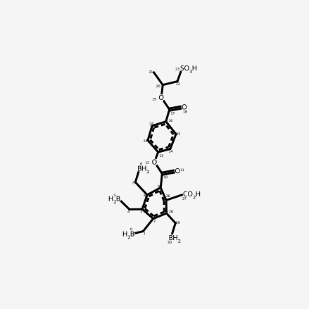 BCc1c(CB)c(CB)c(C(=O)Oc2ccc(C(=O)OC(C)CS(=O)(=O)O)cc2)c(C(=O)O)c1CB